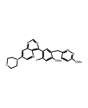 COc1ccc(Cc2cc(-c3ncnc4cc(N5CCOCC5)cnc34)c(F)cc2OC)nn1